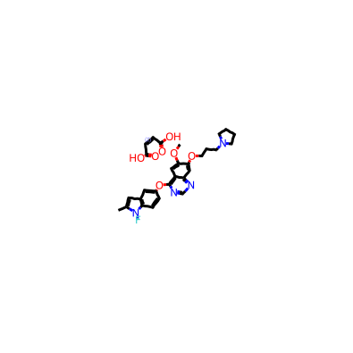 COc1cc2c(Oc3ccc4c(c3)cc(C)n4F)ncnc2cc1OCCCN1CCCC1.O=C(O)/C=C\C(=O)O